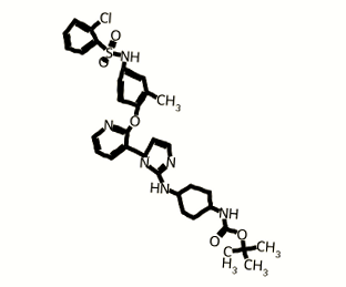 Cc1cc(NS(=O)(=O)c2ccccc2Cl)ccc1Oc1ncccc1-c1ccnc(NC2CCC(NC(=O)OC(C)(C)C)CC2)n1